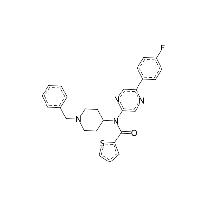 O=C(c1cccs1)N(c1cnc(-c2ccc(F)cc2)cn1)C1CCN(Cc2ccccc2)CC1